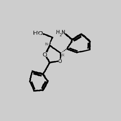 Nc1ccccc1[C@@H]1OC(c2ccccc2)O[C@H]1CO